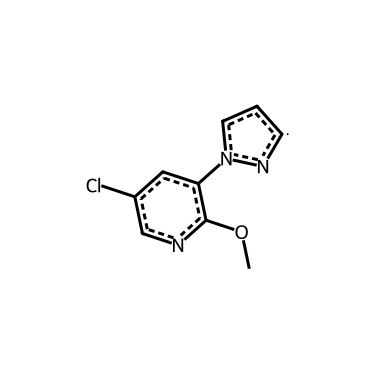 COc1ncc(Cl)cc1-n1cc[c]n1